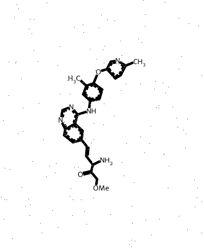 COCC(=O)C(N)C=Cc1ccc2ncnc(Nc3ccc(Oc4ccc(C)nc4)c(C)c3)c2c1